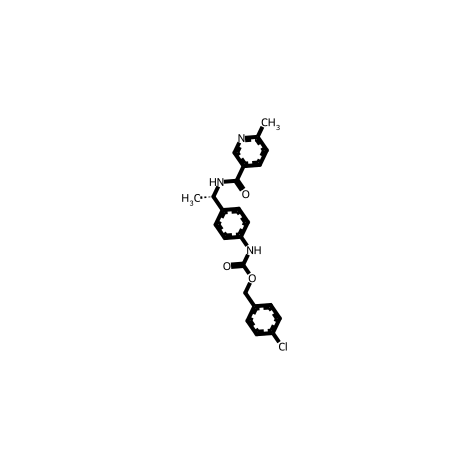 Cc1ccc(C(=O)N[C@@H](C)c2ccc(NC(=O)OCc3ccc(Cl)cc3)cc2)cn1